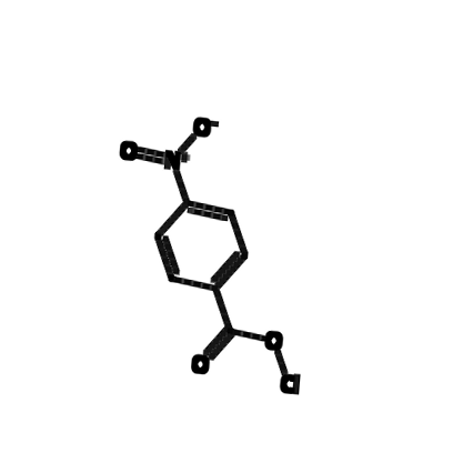 O=C(OCl)c1ccc([N+](=O)[O-])cc1